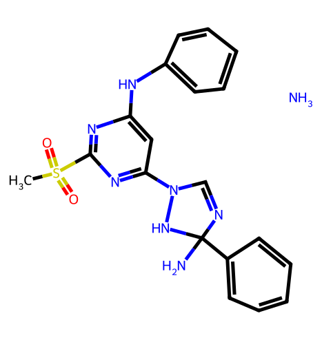 CS(=O)(=O)c1nc(Nc2ccccc2)cc(N2C=NC(N)(c3ccccc3)N2)n1.N